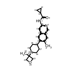 Cc1cc2cnc(NC(=O)C3CC3)cc2cc1C1CCN(C2(C)COC2)CC1